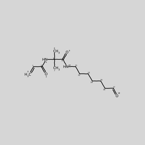 C=CC(=O)NC(C)(C)C(=O)NCCCCCCC=O